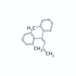 C=CC=C(c1ccccc1C)c1ccccc1C